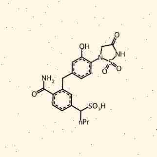 CCCC(c1ccc(C(N)=O)c(Cc2ccc(N3CC(=O)NS3(=O)=O)c(O)c2)c1)S(=O)(=O)O